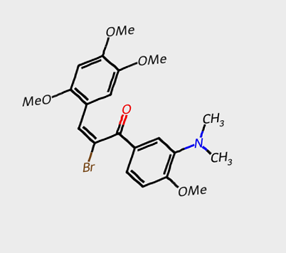 COc1cc(OC)c(OC)cc1/C=C(/Br)C(=O)c1ccc(OC)c(N(C)C)c1